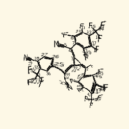 C/C(=C1\C(=C(C#N)c2c(F)c(F)c(C(F)(F)F)c(F)c2F)\C1=C(\C#N)c1ccc(C#N)c(C(F)(F)F)c1)c1c(F)c(F)c(C(F)(F)F)c(F)c1F